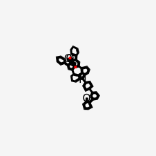 C1=Cc2c(oc3ccc(-c4cccc5c4c4c(n5-c5ccc(-c6cccc7c6oc6ccccc67)cc5)=CCCC=4c4ccc5oc6ccccc6c5c4)cc23)CC1